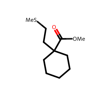 COC(=O)C1(CCSC)CCCCC1